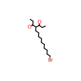 CCC(=O)C(CCCCCCCCCCBr)C(=O)CC